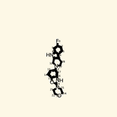 Fc1ccc2c3c([nH]c2c1)CN(c1ccc2c(c1)NC(N1CCOCC1)O2)CC3